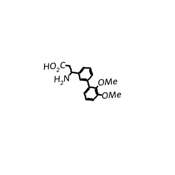 COc1cccc(-c2cccc(C(N)CC(=O)O)c2)c1OC